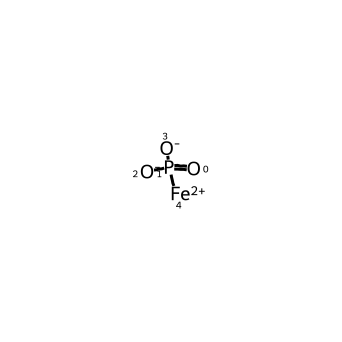 O=[P]([O-])([O-])[Fe+2]